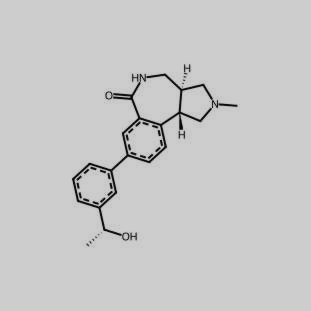 C[C@@H](O)c1cccc(-c2ccc3c(c2)C(=O)NC[C@H]2CN(C)C[C@H]32)c1